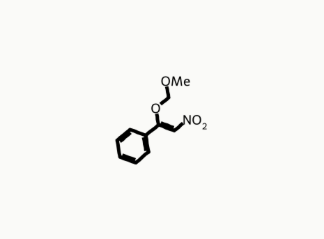 COCOC(=C[N+](=O)[O-])c1ccccc1